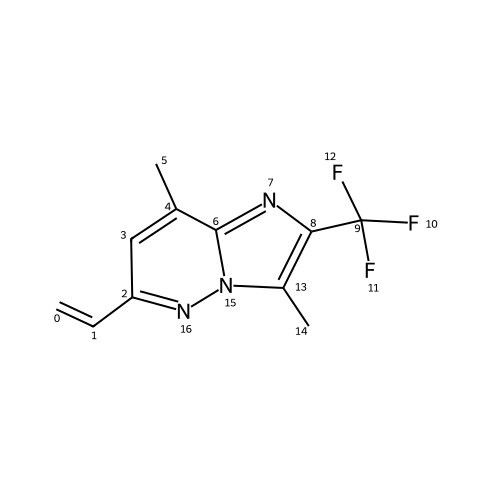 C=Cc1cc(C)c2nc(C(F)(F)F)c(C)n2n1